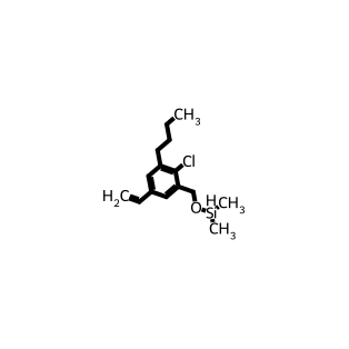 C=Cc1cc(CCCC)c(Cl)c(CO[SiH](C)C)c1